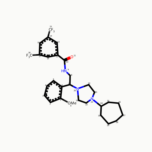 COc1ccccc1C(CNC(=O)c1cc(C(F)(F)F)cc(C(F)(F)F)c1)N1CCN(C2CCCCCC2)CC1